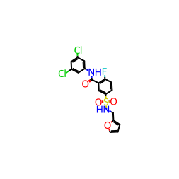 O=C(Nc1cc(Cl)cc(Cl)c1)c1cc(S(=O)(=O)NCc2ccco2)ccc1F